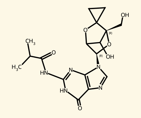 CC(C)C(=O)Nc1nc2c(ncn2[C@@H]2O[C@]3(CO)C(O)C2OC32CC2)c(=O)[nH]1